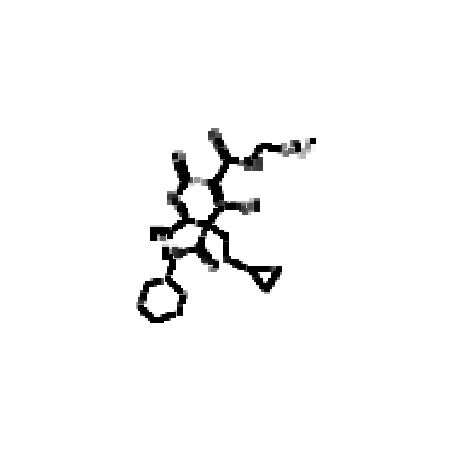 O=C(O)CNC(=O)C1=C(O)C(CCC2CC2)(C(=O)NC2CCCCC2)C(O)=NC1=O